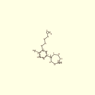 CCCCCc1cc(N2CCCNCC2)cnc1F